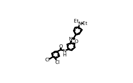 CCN(CC)c1ccc(-c2nc3cc(NC(=O)c4ccc(Cl)c(Cl)c4)ccc3o2)cc1